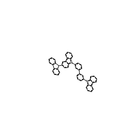 c1cc(-c2cccc(-n3c4ccccc4c4cc(C5c6ccccc6-c6ccccc65)ccc43)c2)cc(-n2c3ccccc3c3ccccc32)c1